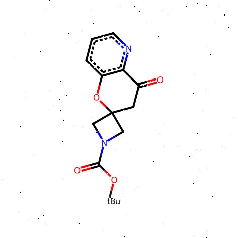 CC(C)(C)OC(=O)N1CC2(CC(=O)c3ncccc3O2)C1